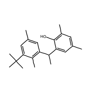 Cc1cc(C)c(O)c(C(C)c2cc(C)cc(C(C)(C)C)c2C)c1